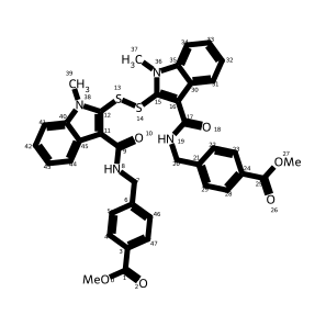 COC(=O)c1ccc(CNC(=O)c2c(SSc3c(C(=O)NCc4ccc(C(=O)OC)cc4)c4ccccc4n3C)n(C)c3ccccc23)cc1